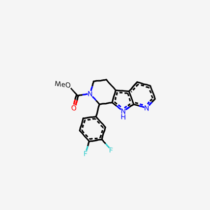 COC(=O)N1CCc2c([nH]c3ncccc23)C1c1ccc(F)c(F)c1